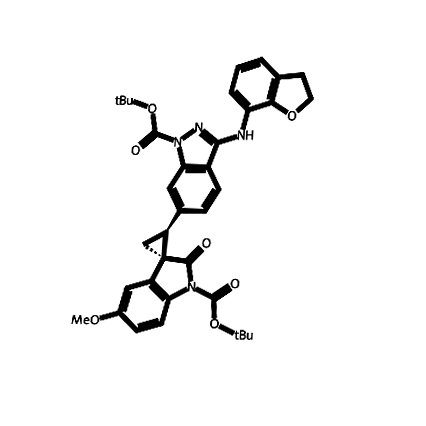 COc1ccc2c(c1)[C@]1(C[C@H]1c1ccc3c(Nc4cccc5c4OCC5)nn(C(=O)OC(C)(C)C)c3c1)C(=O)N2C(=O)OC(C)(C)C